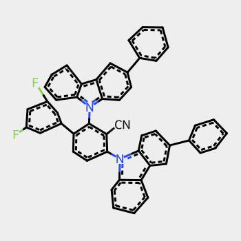 N#Cc1c(-n2c3ccccc3c3cc(-c4ccccc4)ccc32)ccc(-c2cc(F)cc(F)c2)c1-n1c2ccccc2c2cc(-c3ccccc3)ccc21